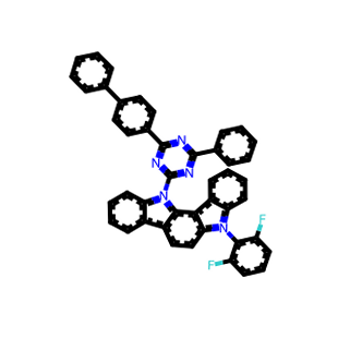 Fc1cccc(F)c1-n1c2ccccc2c2c1ccc1c3ccccc3n(-c3nc(-c4ccccc4)nc(-c4ccc(-c5ccccc5)cc4)n3)c12